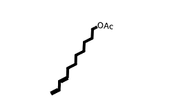 C=C/C=C/CCCCCCCOC(C)=O